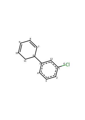 Clc1cccc(C2C=CC=CC2)c1